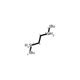 CC(C)(C)[SiH2]CC[SiH2]C(C)(C)C